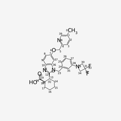 Cc1ccc(COc2ccc3nc([C@H]4CCCC[C@H]4C(=O)O)n(Cc4cccc(N5CC(F)(F)C5)c4)c3c2)nc1